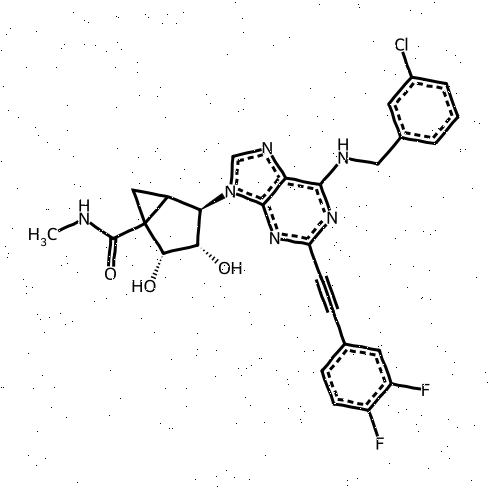 CNC(=O)C12CC1[C@@H](n1cnc3c(NCc4cccc(Cl)c4)nc(C#Cc4ccc(F)c(F)c4)nc31)[C@H](O)[C@@H]2O